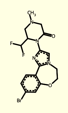 CN1CC(=O)N(c2cn3c(n2)-c2ccc(Br)cc2OCC3)C(C(F)F)C1